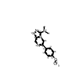 CN(C)c1nnc2cnc(-c3ccc(OC(F)(F)F)cc3)cn12